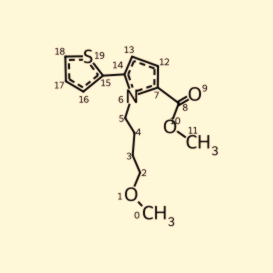 COCCCCn1c(C(=O)OC)ccc1-c1cccs1